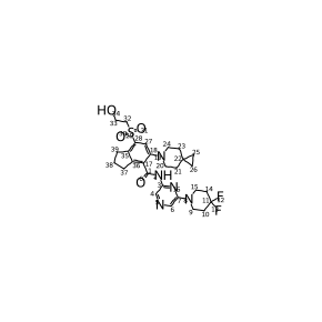 O=C(Nc1cncc(N2CCC(F)(F)CC2)n1)c1c(N2CCC3(CC2)CC3)cc(S(=O)(=O)CCO)c2c1CCC2